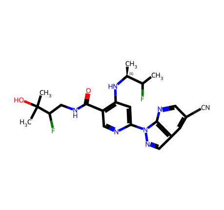 CC(F)[C@H](C)Nc1cc(-n2ncc3cc(C#N)cnc32)ncc1C(=O)NCC(F)C(C)(C)O